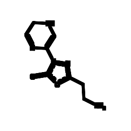 NCCc1nn(C2=CNCC=N2)c(=O)o1